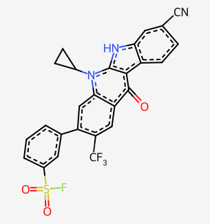 N#Cc1ccc2c(c1)[nH]c1c2c(=O)c2cc(C(F)(F)F)c(-c3cccc(S(=O)(=O)F)c3)cc2n1C1CC1